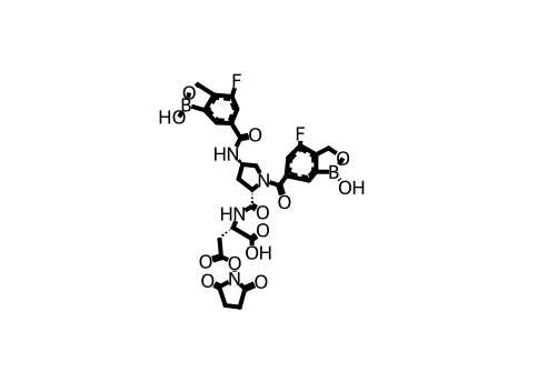 O=C(C[C@H](NC(=O)[C@@H]1C[C@@H](NC(=O)c2cc(F)c3c(c2)B(O)OC3)CN1C(=O)c1cc(F)c2c(c1)B(O)OC2)C(=O)O)ON1C(=O)CCC1=O